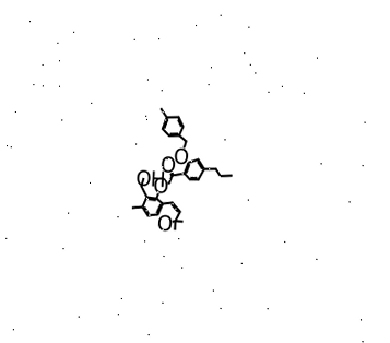 CCCc1ccc(C(=O)COc2c3c(cc(C)c2CO)OC(C)(C)C=C3)c(OCc2ccc(C)cc2)c1